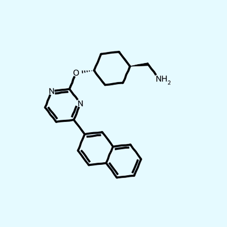 NC[C@H]1CC[C@H](Oc2nccc(-c3ccc4ccccc4c3)n2)CC1